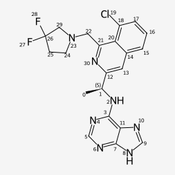 C[C@H](Nc1ncnc2[nH]cnc12)c1cc2cccc(Cl)c2c(CN2CCC(F)(F)C2)n1